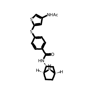 CC(=O)Nc1csc(Sc2ccc(C(=O)N[C@@H]3C[C@H]4CC[C@@H]3N4)cc2)c1